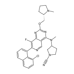 CN(c1nc(OC[C@@H]2CCCN2C)nc2c(F)c(-c3cccc4cccc(Cl)c34)ncc12)C1CCN(C#N)C1